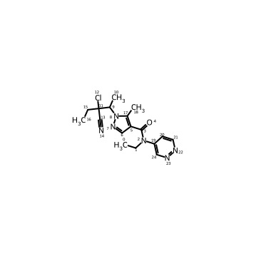 CCN(C(=O)c1cnn(C(C)C(Cl)(C#N)CC)c1C)c1ccnnc1